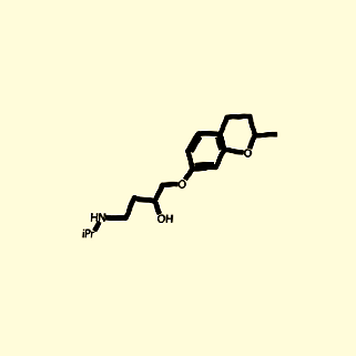 CC(C)NCCC(O)COc1ccc2c(c1)OC(C)CC2